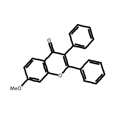 COc1ccc2c(=O)c(-c3ccccc3)c(-c3ccccc3)oc2c1